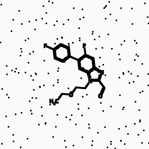 CCOCCn1c(C=O)nc2cc(F)c(-c3ccc(F)cc3)cc21